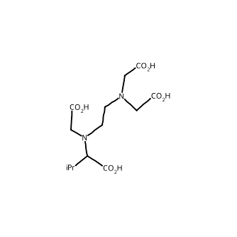 CC(C)C(C(=O)O)N(CCN(CC(=O)O)CC(=O)O)CC(=O)O